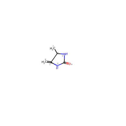 C=C1NC(=O)NC1C